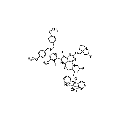 COc1ccc(CN(Cc2ccc(OC)cc2)c2cc(C)c(I)c(-c3nc4c5c(nc(OC[C@@]67CCCN6C[C@H](F)C7)nc5c3F)N(CC(F)F)[C@@H](CCO[Si](c3ccccc3)(c3ccccc3)C(C)(C)C)CO4)n2)cc1